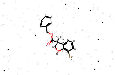 CC1(C(=O)OCc2ccccc2)COc2c(Br)cccc21